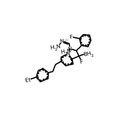 BC(F)(c1ccc(CCc2ccc(CC)cc2)cn1)C(c1ccccc1F)N(N)/C=N\N